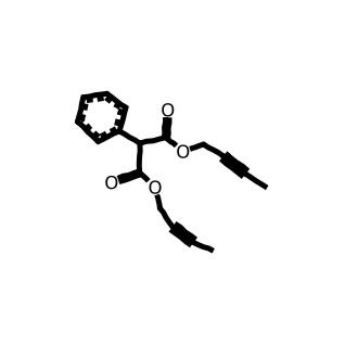 CC#CCOC(=O)C(C(=O)OCC#CC)c1ccccc1